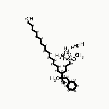 CCCCCCCCCCCCCCCCC(CCC[Si](OC)(OC)OC)C(C)(N)Cc1ccccc1.I.I.I